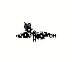 CCS(=O)(=O)c1ccc(C(Oc2ccc(/C=N/C)cc2)C(=O)Nc2nc3ccc(OCCO)cc3s2)cc1